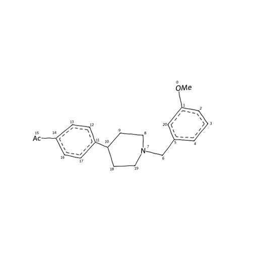 COc1cccc(CN2CCC(c3ccc(C(C)=O)cc3)CC2)c1